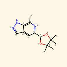 Cc1nc(B2OC(C)(C)C(C)(C)O2)cc2cn[nH]c12